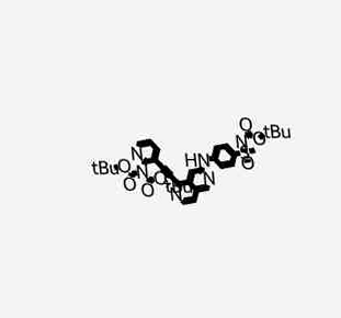 CC(C)(C)OC(=O)N=S(C)(=O)c1ccc(Nc2cc3c(C#Cc4cccnc4N(C(=O)OC(C)(C)C)C(=O)OC(C)(C)C)nccc3cn2)cc1